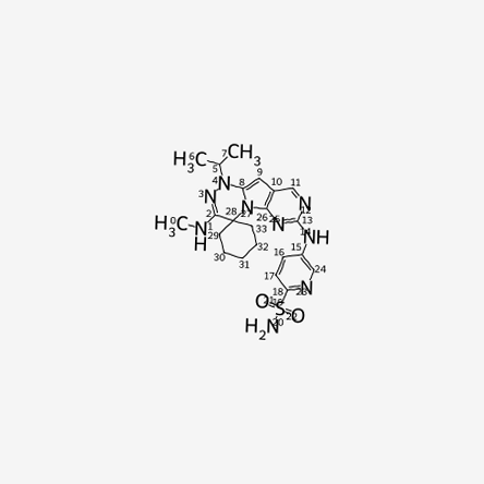 CNC1=NN(C(C)C)c2cc3cnc(Nc4ccc(S(N)(=O)=O)nc4)nc3n2C12CCCCC2